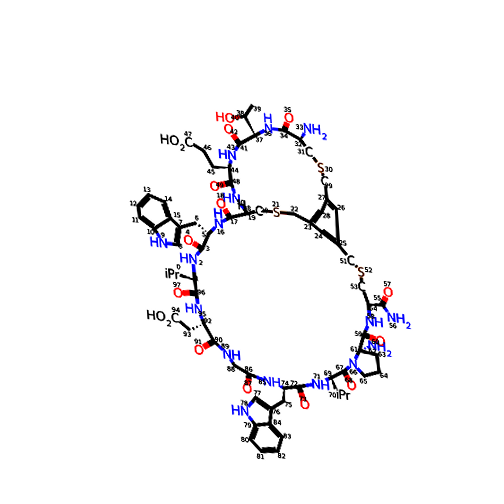 CC(C)[C@H]1NC(=O)[C@H](Cc2c[nH]c3ccccc23)NC(=O)[C@@H]2CSCc3cc(cc(c3)CSC[C@H](N)C(=O)N[C@H](C(C)O)C(=O)N[C@H](CCC(=O)O)C(=O)N2)CSC[C@@H](C(N)=O)NC(=O)[C@@]2(N)CCCN2C(=O)[C@@H](C(C)C)NC(=O)[C@@H](Cc2c[nH]c3ccccc23)NC(=O)CNC(=O)[C@H](CC(=O)O)NC1=O